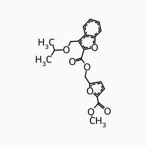 COC(=O)c1ccc(COC(=O)c2oc3ccccc3c2COC(C)C)o1